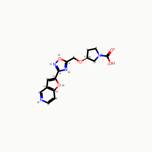 O=C(O)N1CC[C@H](OCc2nc(-c3cc4cnccc4o3)no2)C1